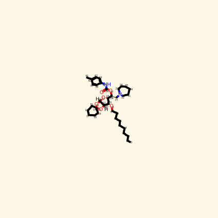 CCCCCCCCCCO[C@@H]1[C@H]2OC3(CCCCC3)O[C@H]2O[C@@H]1[C@@H](CN1CCCCCC1)OC(=O)Nc1ccc(C)cc1